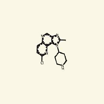 Cc1nc2cnc3ccc(Cl)nc3c2n1C1CCNCC1